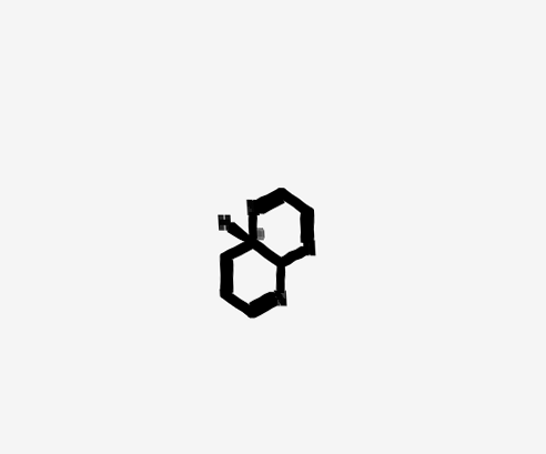 C1=C[C@@H]2N=CC=NC2N=C1